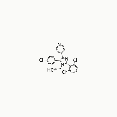 C#CCn1c(-c2c(Cl)cccc2Cl)nc(-c2ccncc2)c1-c1ccc(Cl)cc1